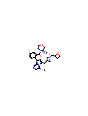 Cc1cncc2c(-c3ccc(F)cc3C(=O)N3CCOC[C@H]3C)cc(CC3CN(CC4CCO4)C3)n12